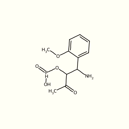 COc1ccccc1C(N)C(O[PH](=O)O)C(C)=O